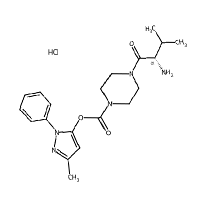 Cc1cc(OC(=O)N2CCN(C(=O)[C@@H](N)C(C)C)CC2)n(-c2ccccc2)n1.Cl